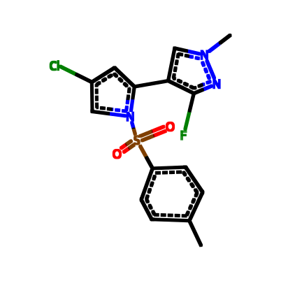 Cc1ccc(S(=O)(=O)n2cc(Cl)cc2-c2cn(C)nc2F)cc1